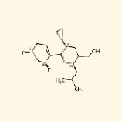 CC(C)C[C@H]1C=C(C2=CC[C@H](F)C[C@@H]2F)[C@@H](C2CC2)CC1CO